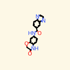 O=C1COc2cc(NC(=O)c3ccc4nccnc4c3)ccc2N1